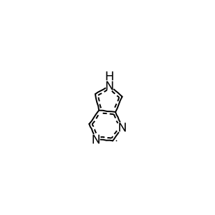 [c]1ncc2c[nH]cc2n1